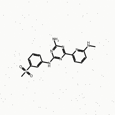 CNc1cccc(-c2nc(N)nc(Nc3cccc(S(C)(=O)=O)c3)n2)n1